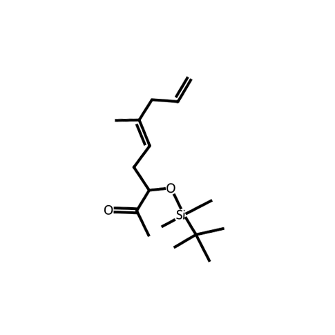 C=CCC(C)=CCC(O[Si](C)(C)C(C)(C)C)C(C)=O